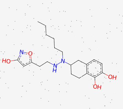 CCCCCCN(NCCc1cc(O)no1)C1CCc2c(ccc(O)c2O)C1